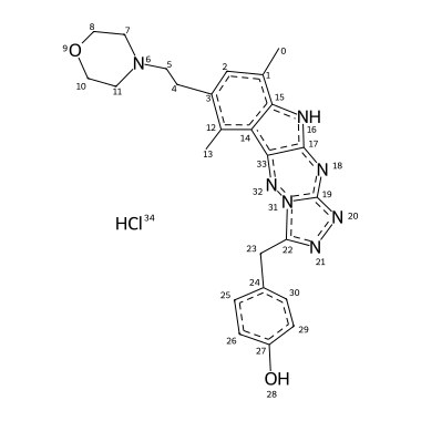 Cc1cc(CCN2CCOCC2)c(C)c2c1[nH]c1nc3nnc(Cc4ccc(O)cc4)n3nc12.Cl